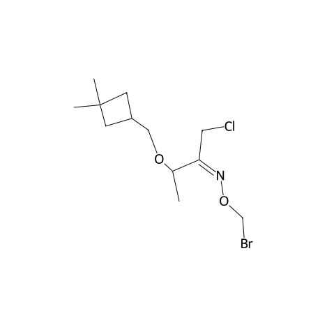 CC(OCC1CC(C)(C)C1)/C(CCl)=N\OCBr